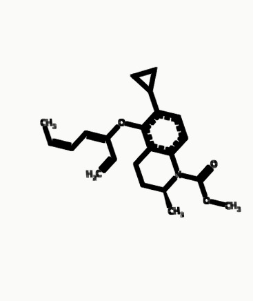 C=C/C(=C\C=C/C)Oc1c(C2CC2)ccc2c1CC[C@H](C)N2C(=O)OC